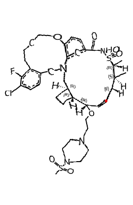 C[C@@H]1[C@@H](C)S(=O)(=O)NC(=O)c2ccc3c(c2)N(Cc2ccc(Cl)c(F)c2CCCCO3)C[C@@H]2CC[C@H]2[C@@H](OCCN2CCN(S(C)(=O)=O)CC2)C2=C[C@H]1C2